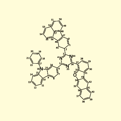 C1=CC(c2nc(-c3ccc4c5ccccc5n(-c5ccccc5)c4c3)nc(-c3cccc4c3oc3cc5ccccc5cc34)n2)CC2=C1c1cccc3cccc2c13